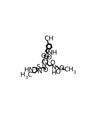 C#Cc1ccc2[nH]c(S(=O)(=O)N3CCN(C(=O)c4nc5c(s4)CNC(C)C5)C(CC(=O)NCC(=O)OCC)C3)cc2c1